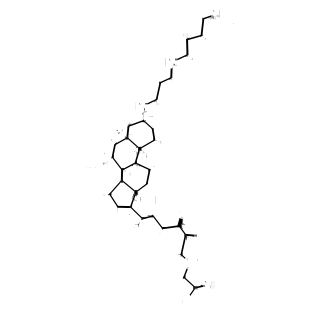 CC(N)CSCC(C)C(=O)CC[C@@H](C)C1CCC2C3C(CC[C@@]21C)[C@@]1(C)CC[C@H](NCCCNCCCCN)C[C@@H]1C[C@H]3O